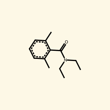 CCN(CC)C(=O)c1c(C)cccc1C